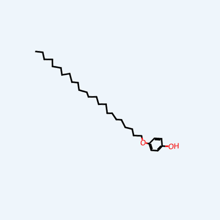 CCCCCCCCCCCCCCCCCCCCCCCCOc1ccc(O)cc1